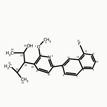 COc1nc(-c2ccc3cccc(F)c3c2)ccc1C(C(C)C)C(C)O